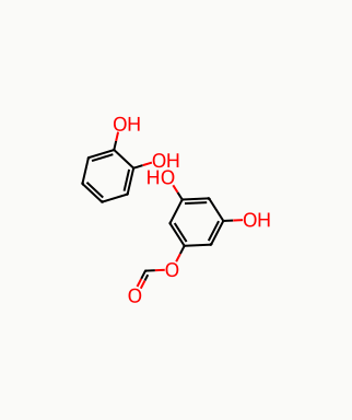 O=COc1cc(O)cc(O)c1.Oc1ccccc1O